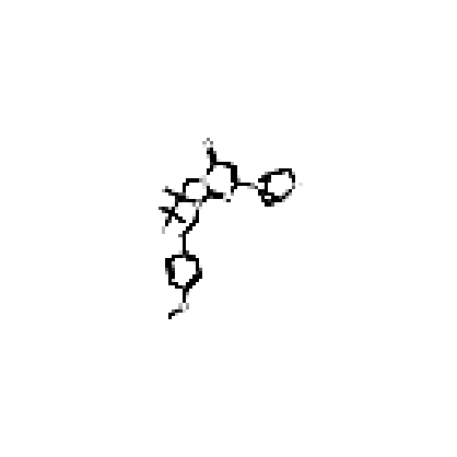 COc1ccc(CCN2c3nc(N4CC5CC4CO5)cc(=O)n3CC2(C)C(F)(F)F)cc1